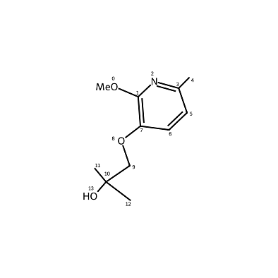 COc1nc(C)ccc1OCC(C)(C)O